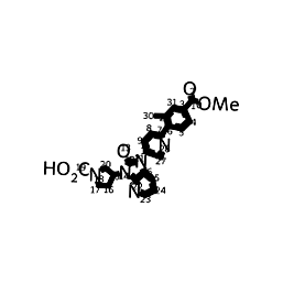 COC(=O)c1ccc(-c2ccc(-n3c(=O)n(C4CCN(C(=O)O)C4)c4ncccc43)cn2)c(C)c1